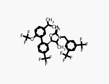 CC(C)c1ccc(OC(F)(F)F)c(-c2ccc(C(F)(F)F)cc2[C@H]2OC(=O)N(Cc3cc(C(F)(F)F)cc(C(F)(F)F)c3)C2C)c1